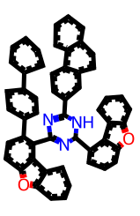 c1ccc(-c2ccc(-c3ccc4oc5ccccc5c4c3C3=NC(c4cccc5oc6ccccc6c45)NC(c4ccc5c(ccc6ccccc65)c4)=N3)cc2)cc1